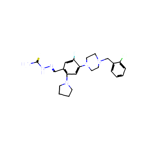 NC(=S)NN=Cc1cc(F)c(N2CCN(Cc3ccccc3Cl)CC2)cc1N1CCCC1